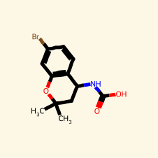 CC1(C)CC(NC(=O)O)c2ccc(Br)cc2O1